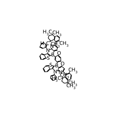 Cc1ccc2c(c1-c1cc3c4c(n1)N(c1ccccc1)c1c(sc5ccccc15)B4c1cc4c(cc1O3)Oc1cc(-c3c(C)ccc5c3C(C)(C)CCC5(C)C)nc3c1B4c1sc4ccccc4c1N3c1ccccc1)C(C)(C)CCC2(C)C